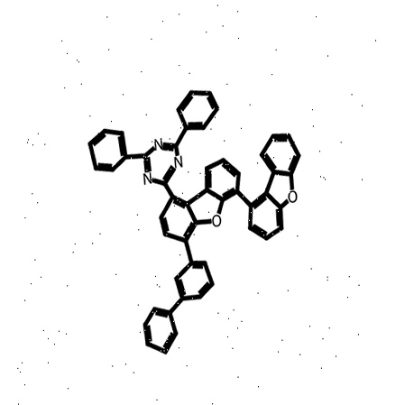 c1ccc(-c2cccc(-c3ccc(-c4nc(-c5ccccc5)nc(-c5ccccc5)n4)c4c3oc3c(-c5cccc6oc7ccccc7c56)cccc34)c2)cc1